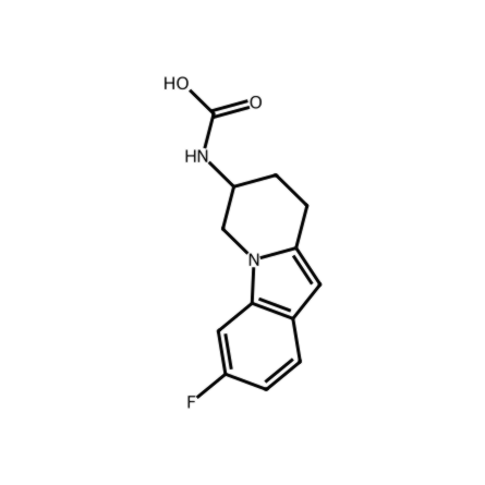 O=C(O)NC1CCc2cc3ccc(F)cc3n2C1